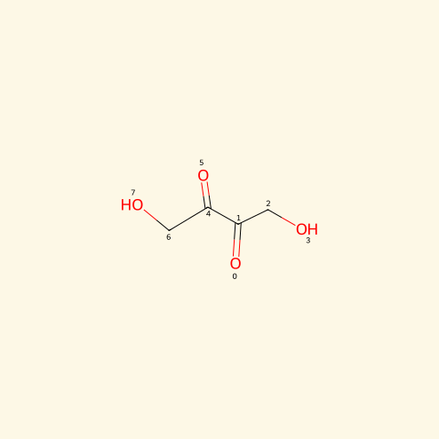 O=C(CO)C(=O)CO